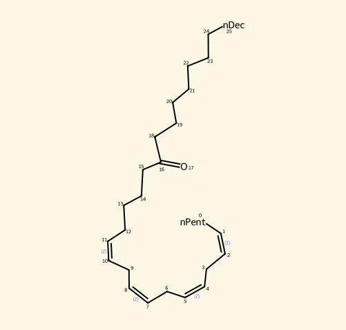 CCCCC/C=C\C/C=C\C/C=C\C/C=C\CCCCC(=O)CCCCCCCCCCCCCCCCC